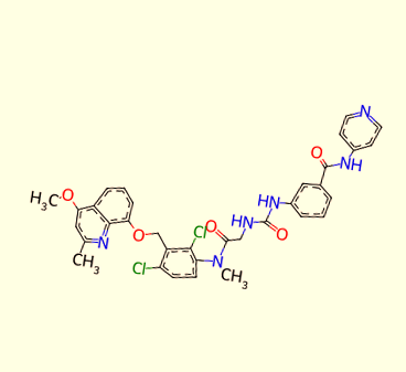 COc1cc(C)nc2c(OCc3c(Cl)ccc(N(C)C(=O)CNC(=O)Nc4cccc(C(=O)Nc5ccncc5)c4)c3Cl)cccc12